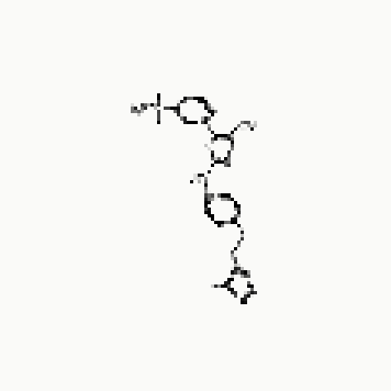 Cc1nccn1CCc1ccc(Nc2ncc(C#N)c(-c3cccc(C(C)(C)N)c3)n2)cc1